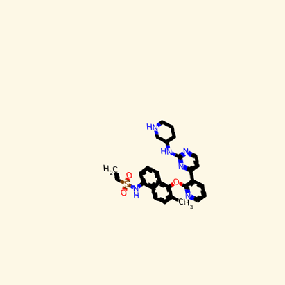 C=CS(=O)(=O)Nc1cccc2c(Oc3ncccc3-c3ccnc(NC4CCCNC4)n3)c(C)ccc12